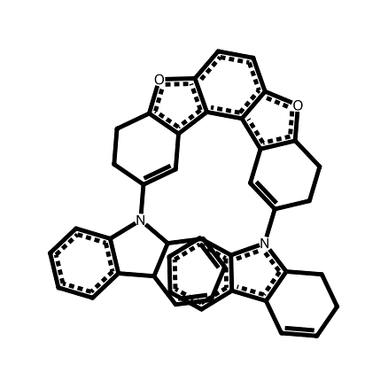 C1=CC2c3ccccc3N(C3=Cc4c(oc5ccc6oc7c(c6c45)C=C(n4c5c(c6ccccc64)C=CCC5)CC7)CC3)C2C=C1